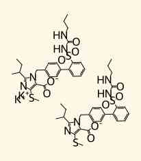 CCCNC(=O)NS(=O)(=O)c1ccccc1-c1ccc(Cn2c(C(C)CC)nc(SC)c2C(=O)[O-])cc1.CCCNC(=O)NS(=O)(=O)c1ccccc1-c1ccc(Cn2c(C(C)CC)nc(SC)c2C(=O)[O-])cc1.[K+].[K+]